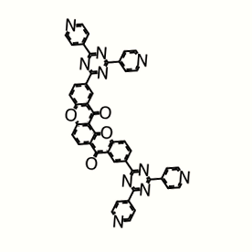 O=c1c2cc(-c3nc(-c4ccncc4)nc(-c4ccncc4)n3)ccc2oc2c1ccc1oc3ccc(-c4nc(-c5ccncc5)nc(-c5ccncc5)n4)cc3c(=O)c12